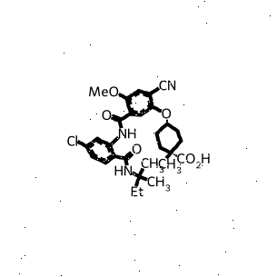 CCC(C)(C)NC(=O)c1ccc(Cl)cc1NC(=O)c1cc(O[C@H]2CC[C@@](C)(C(=O)O)CC2)c(C#N)cc1OC